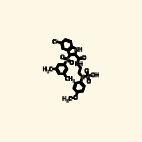 COc1ccc(N(CCNC(=O)c2[nH]c3ccc(Cl)cc3c2S(=O)(=O)c2cc(C)cc(C)c2)S(=O)(=O)O)cc1